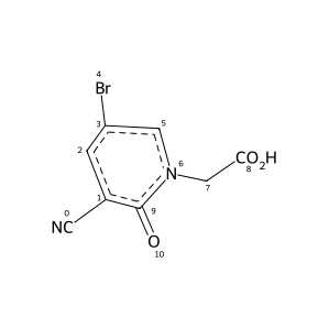 N#Cc1cc(Br)cn(CC(=O)O)c1=O